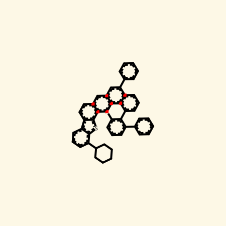 c1ccc(-c2ccc(N(c3cccc(-c4ccccc4)c3-c3ccccc3-c3ccccc3)c3cccc4c3sc3c(C5CCCCC5)cccc34)cc2)cc1